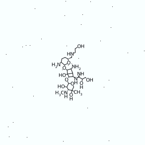 CN[C@@H]1C(O)[C@@H](OC2[C@H](NC(=N)C(O)CO)C3[C@H](N)C(O[C@H]4O[C@H](CNCCO)CCC4N)C23O)OCC1(C)O